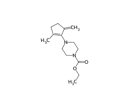 C=C1CCC(C)=C1N1CCN(C(=O)OCC)CC1